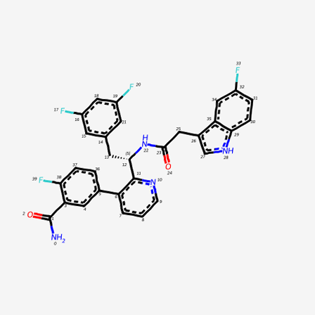 NC(=O)c1cc(-c2cccnc2[C@H](Cc2cc(F)cc(F)c2)NC(=O)Cc2c[nH]c3ccc(F)cc23)ccc1F